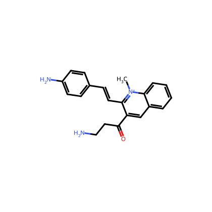 C[n+]1c(C=Cc2ccc(N)cc2)c(C(=O)CCN)cc2ccccc21